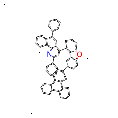 c1ccc(-c2cc(-c3cccc4oc5ccc(-c6ccc7c8ccccc8c8ccccc8c7c6)cc5c34)c3cc(-c4ccccc4)c4ccccc4c3n2)cc1